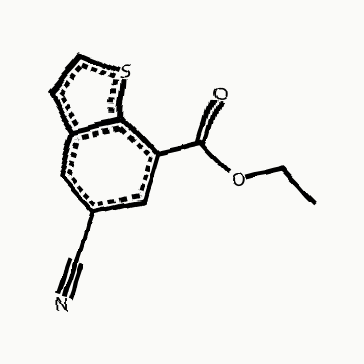 CCOC(=O)c1cc(C#N)cc2ccsc12